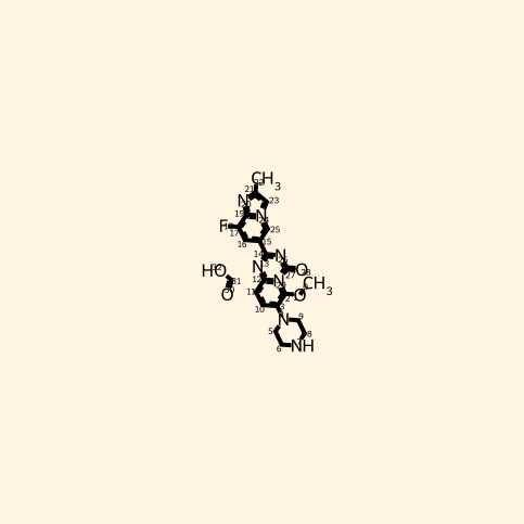 COc1c(N2CCNCC2)ccc2nc(-c3cc(F)c4nc(C)cn4c3)nc(=O)n12.O=CO